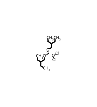 CCC(CC)C[O][V][O]CC(CC)CC.ClOCl